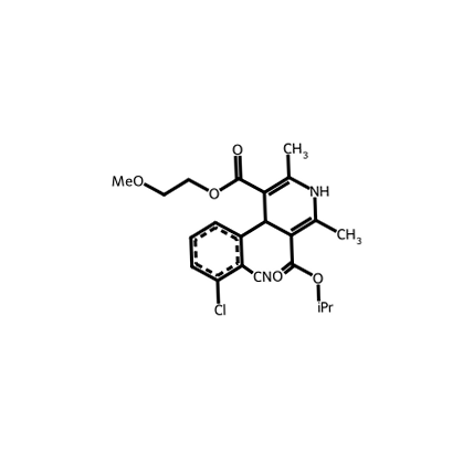 COCCOC(=O)C1=C(C)NC(C)=C(C(=O)OC(C)C)C1c1cccc(Cl)c1C#N